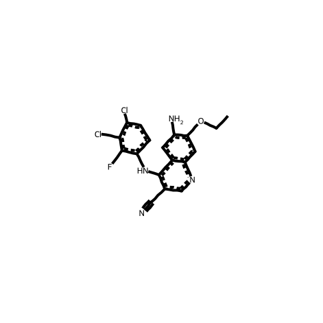 CCOc1cc2ncc(C#N)c(Nc3ccc(Cl)c(Cl)c3F)c2cc1N